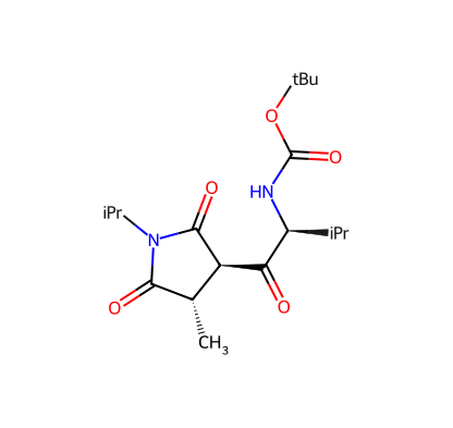 CC(C)[C@H](NC(=O)OC(C)(C)C)C(=O)[C@@H]1C(=O)N(C(C)C)C(=O)[C@H]1C